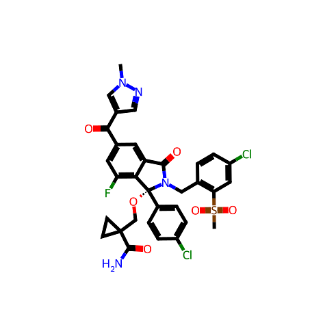 Cn1cc(C(=O)c2cc(F)c3c(c2)C(=O)N(Cc2ccc(Cl)cc2S(C)(=O)=O)[C@@]3(OCC2(C(N)=O)CC2)c2ccc(Cl)cc2)cn1